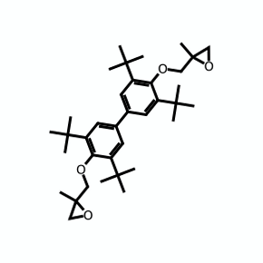 CC1(COc2c(C(C)(C)C)cc(-c3cc(C(C)(C)C)c(OCC4(C)CO4)c(C(C)(C)C)c3)cc2C(C)(C)C)CO1